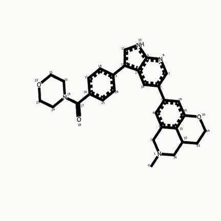 CN1Cc2cc(-c3cnc4[nH]cc(-c5ccc(C(=O)N6CCOCC6)cc5)c4c3)cc3c2C(CCO3)C1